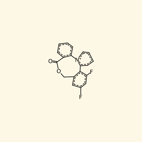 O=C1OCc2cc(F)cc(F)c2-c2cccc[n+]2-c2ccccc21